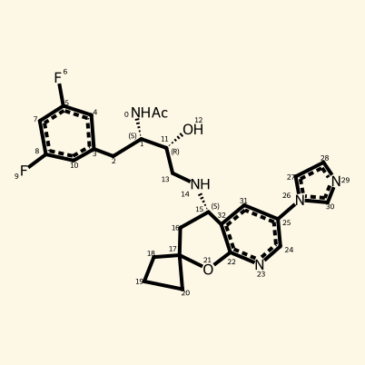 CC(=O)N[C@@H](Cc1cc(F)cc(F)c1)[C@H](O)CN[C@H]1CC2(CCC2)Oc2ncc(-n3ccnc3)cc21